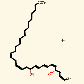 CC/C=C\C[C@H](O)\C=C/C=C/C=C/[C@H](O)C/C=C\C/C=C\CCCCCCCCCCCCC(=O)[O-].[Na+]